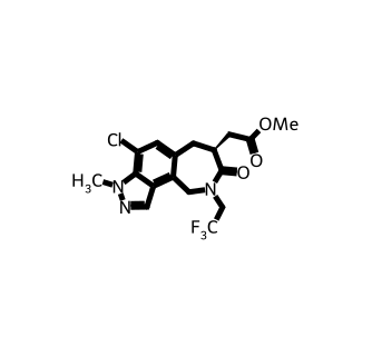 COC(=O)C[C@@H]1Cc2cc(Cl)c3c(cnn3C)c2CN(CC(F)(F)F)C1=O